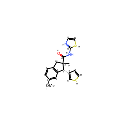 COc1ccc2c(c1)[C@@H](c1ccsc1)[C@@](C)(C(=O)Nc1nccs1)C2